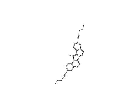 CCCC#Cc1ccc2c(ccc3c4ccc5cc(C#CCCC)ccc5c4n(C)c23)c1